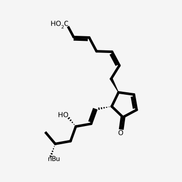 CCCC[C@H](C)C[C@H](O)/C=C/[C@H]1C(=O)C=C[C@@H]1C/C=C\C/C=C/C(=O)O